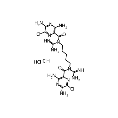 Cl.Cl.N=C(N)N(CCCCCN(C(=N)N)C(=O)c1nc(Cl)c(N)nc1N)C(=O)c1nc(Cl)c(N)nc1N